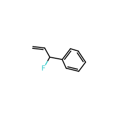 C=CC(F)c1ccccc1